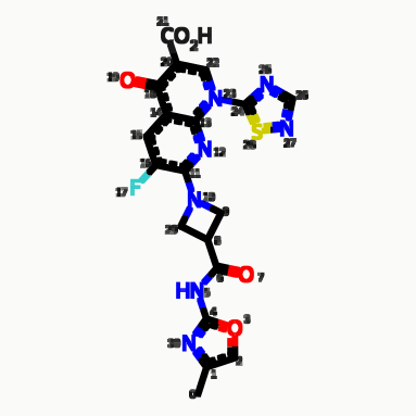 Cc1coc(NC(=O)C2CN(c3nc4c(cc3F)c(=O)c(C(=O)O)cn4-c3ncns3)C2)n1